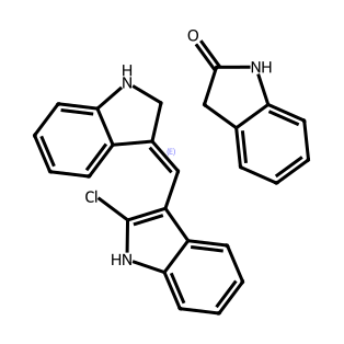 Clc1[nH]c2ccccc2c1/C=C1/CNc2ccccc21.O=C1Cc2ccccc2N1